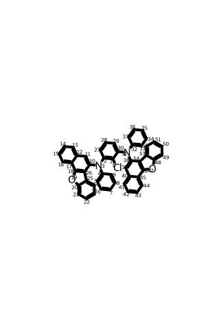 Clc1c(N(c2ccccc2)c2cc3ccccc3c3oc4ccccc4c23)cccc1N(c1ccccc1)c1cc2ccccc2c2oc3ccccc3c12